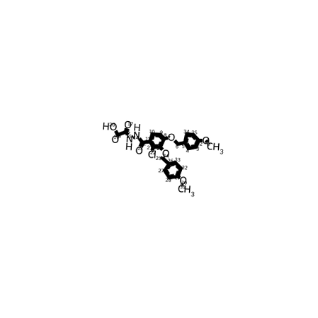 COc1ccc(COc2ccc(C(=O)NNC(=O)C(=O)O)c(Cl)c2OCc2ccc(OC)cc2)cc1